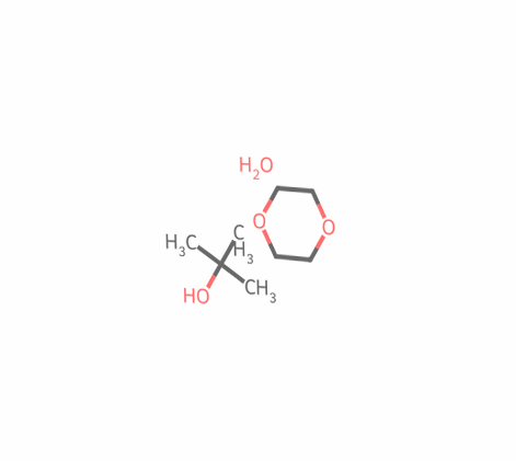 C1COCCO1.CC(C)(C)O.O